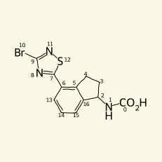 O=C(O)NC1CCc2c(-c3nc(Br)ns3)cccc21